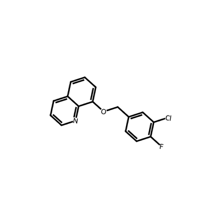 Fc1ccc(COc2cccc3cccnc23)cc1Cl